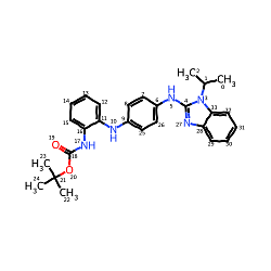 CC(C)n1c(Nc2ccc(Nc3ccccc3NC(=O)OC(C)(C)C)cc2)nc2ccccc21